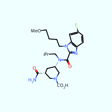 COCCCCn1c(C(=O)N(CC(C)C)[C@H]2C[C@@H](C(N)=O)CN(C(=O)O)C2)nc2ccc(F)cc21